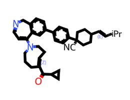 CC(C)/C=C/C1CCC(C#N)(c2ccc(-c3ccc4c(c3)C(N3CC/C=C(\C(=O)C5CC5)CCC3)=CC=NC4)cc2)CC1